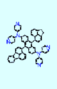 c1ccc2c(c1)-c1cccc3c(-c4c5ccc(N(c6ccncc6)c6ccncc6)cc5c(-c5ccc6c7c(cccc57)CC6)c5ccc(N(c6ccncc6)c6ccncc6)cc45)ccc-2c13